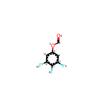 O=[C]Oc1cc(F)c(F)c(F)c1